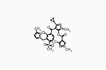 Cc1ccn(Cc2c(S(C)(=O)=O)ccc(C(=O)c3c(C4CC4)nn(C)c3OC(=O)c3cn(C)nc3C)c2Cl)n1